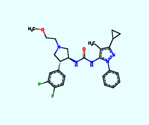 COCCN1C[C@@H](NC(=O)Nc2c(C)c(C3CC3)nn2-c2ccccc2)[C@H](c2ccc(F)c(F)c2)C1